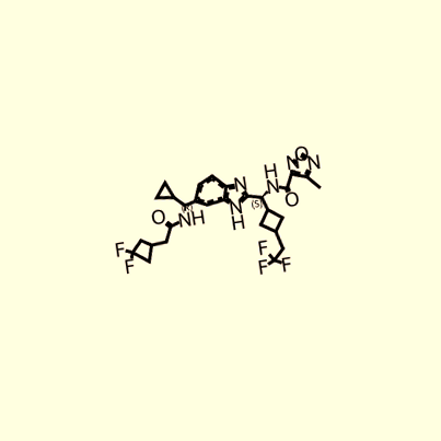 Cc1nonc1C(=O)N[C@H](c1nc2ccc([C@H](NC(=O)CC3CC(F)(F)C3)C3CC3)cc2[nH]1)C1CC(CC(F)(F)F)C1